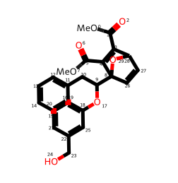 COC(=O)C1=C(C(=O)OC)C2(C(Cc3ccccc3)Oc3cccc(CO)c3)C=CC1O2